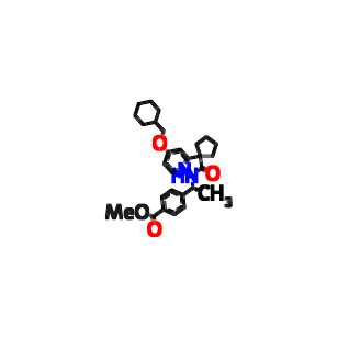 COC(=O)c1ccc([C@H](C)NC(=O)C2(c3cc(OCC4CCCCC4)ccn3)CCCC2)cc1